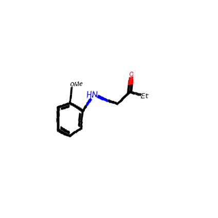 CCC(=O)CNc1ccccc1OC